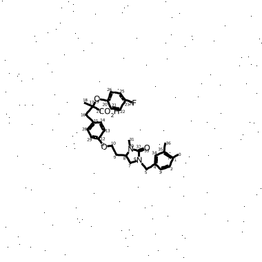 Cc1ccc(CN2CC(CCOc3ccc(CC(C)(Oc4ccc(F)cc4)C(=O)O)cc3)N(C)C2=O)cc1C